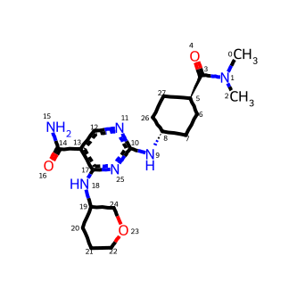 CN(C)C(=O)[C@H]1CC[C@H](Nc2ncc(C(N)=O)c(NC3CCCOC3)n2)CC1